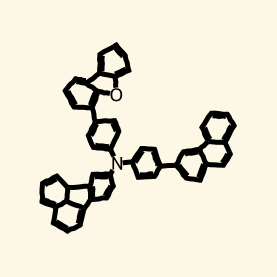 C1=CC2=CC=CC3c4cc(N(c5ccc(-c6ccc7ccc8ccccc8c7c6)cc5)c5ccc(-c6cccc7c6oc6ccccc67)cc5)ccc4C(=C1)C23